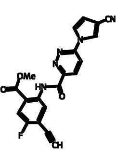 C#Cc1cc(NC(=O)c2ccc(-n3ccc(C#N)c3)nn2)c(C(=O)OC)cc1F